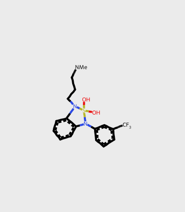 CNCCCN1c2ccccc2N(c2cccc(C(F)(F)F)c2)S1(O)O